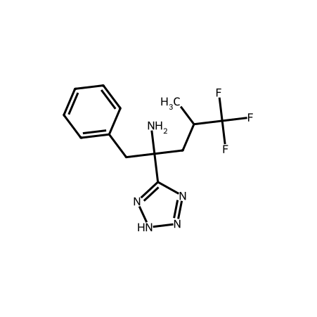 CC(CC(N)(Cc1ccccc1)c1nn[nH]n1)C(F)(F)F